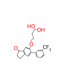 O=C1CCc2cc(-c3cccc(C(F)(F)F)c3)c(OCCCC(O)O)cc21